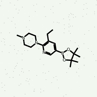 CCc1cc(B2OC(C)(C)C(C)(C)O2)cnc1N1CCN(C)CC1